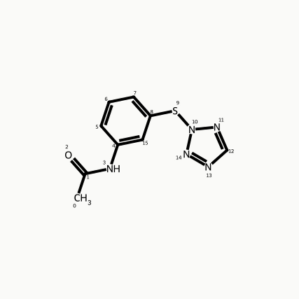 CC(=O)Nc1cccc(Sn2ncnn2)c1